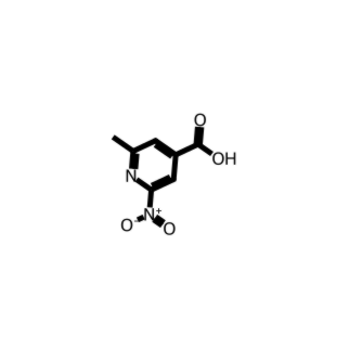 Cc1cc(C(=O)O)cc([N+](=O)[O-])n1